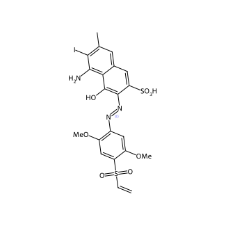 C=CS(=O)(=O)c1cc(OC)c(/N=N/c2c(S(=O)(=O)O)cc3cc(C)c(I)c(N)c3c2O)cc1OC